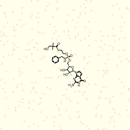 CC(C)(CO)C(=O)SCCOP(=O)(NCc1ccccc1)OC[C@H]1O[C@@H](n2ccc3c(=O)[nH]c(N)nc32)[C@@](C)(O)C1O